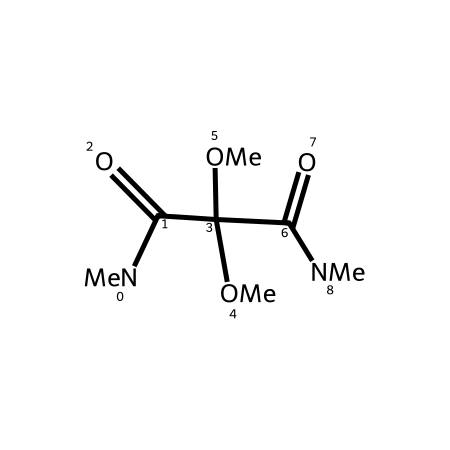 CNC(=O)C(OC)(OC)C(=O)NC